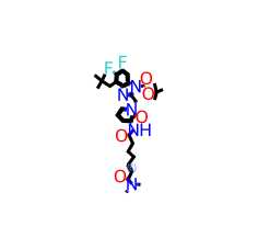 CN(C)C(=O)/C=C/CCCC(=O)Nc1cccn(Cc2nc3c(CC(C)(C)C)c(F)c(F)cc3n2C(=O)OC(C)(C)C)c1=O